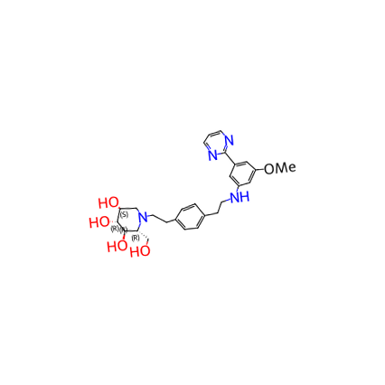 COc1cc(NCCc2ccc(CCN3C[C@H](O)[C@@H](O)[C@H](O)[C@H]3CO)cc2)cc(-c2ncccn2)c1